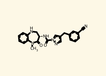 CN1C(=O)[C@@H](NC(=O)n2cc(Cc3cccc(C#N)c3)cn2)CNc2ccccc21